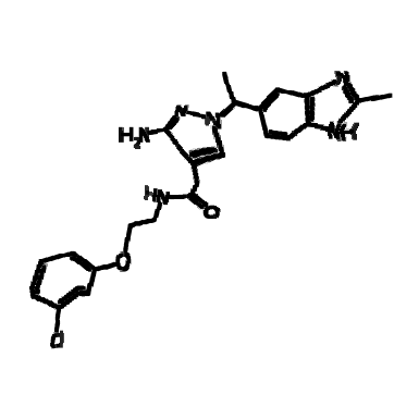 Cc1nc2cc(C(C)n3cc(C(=O)NCCOc4cccc(Cl)c4)c(N)n3)ccc2[nH]1